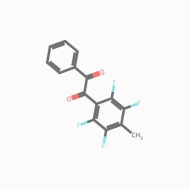 Cc1c(F)c(F)c(C(=O)C(=O)c2ccccc2)c(F)c1F